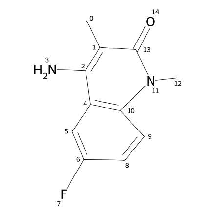 Cc1c(N)c2cc(F)ccc2n(C)c1=O